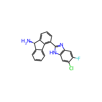 N[C@@H]1c2ccccc2-c2c(-c3nc4cc(F)c(Cl)cc4[nH]3)cccc21